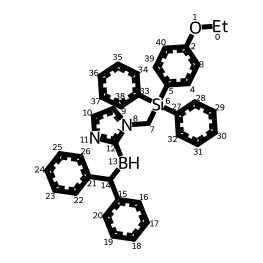 CCOc1ccc([Si](Cn2ccnc2BC(c2ccccc2)c2ccccc2)(c2ccccc2)c2ccccc2)cc1